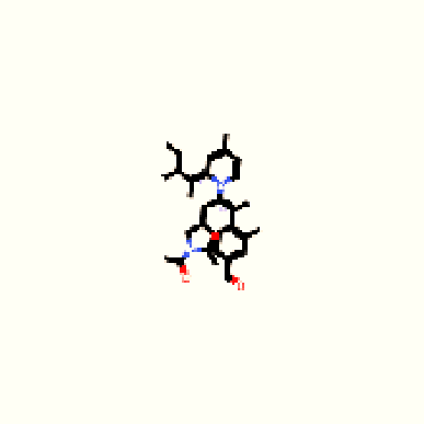 CCC(C)/C(C)=C1\C=C(C)C=CN1/C(CC1CC(C)N(C(C)=O)C1)=C(\C)c1ccc(C=O)cc1C